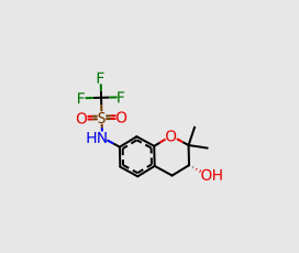 CC1(C)Oc2cc(NS(=O)(=O)C(F)(F)F)ccc2C[C@H]1O